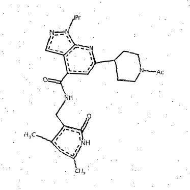 CC(=O)N1CCC(c2cc(C(=O)NCc3c(C)cc(C)[nH]c3=O)c3cnn(C(C)C)c3n2)CC1